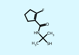 CC(C)(S)NC(=O)C1=C(F)CCC1